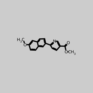 COC(=O)c1ccc(-c2ccc3cc(OC)ccc3c2)nc1